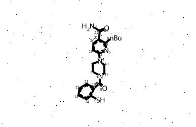 CCCCc1nc(N2CCN(C(=O)c3ccccc3S)CC2)ccc1C(N)=O